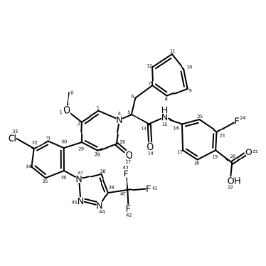 COc1cn(C(Cc2ccccc2)C(=O)Nc2ccc(C(=O)O)c(F)c2)c(=O)cc1-c1cc(Cl)ccc1-n1cc(C(F)(F)F)nn1